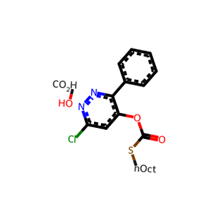 CCCCCCCCSC(=O)Oc1cc(Cl)nnc1-c1ccccc1.O=C(O)O